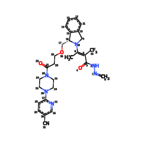 C=NNC(=O)/C(=C(\C)N1Cc2ccccc2[C@H]1COCCC(=O)N1CCN(c2ccc(C#N)cn2)CC1)C(F)(F)F